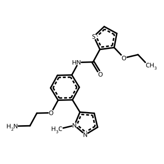 CCOc1ccsc1C(=O)Nc1ccc(OCCN)c(-c2ccnn2C)c1